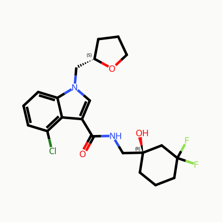 O=C(NC[C@@]1(O)CCCC(F)(F)C1)c1cn(C[C@@H]2CCCO2)c2cccc(Cl)c12